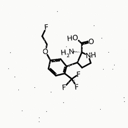 N[C@]1(C(=O)O)NCCC1c1cc(OCCF)ccc1C(F)(F)F